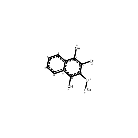 CCCCOc1c(CC)c(O)c2ccccc2c1O